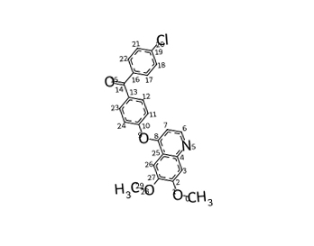 COc1cc2nccc(Oc3ccc(C(=O)c4ccc(Cl)cc4)cc3)c2cc1OC